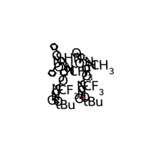 Cn1nc(-c2ccc(OCc3ccccc3)nc2OCc2ccccc2)c2ccc(OCCCN3CCN(C(=O)OC(C)(C)C)CC3C(F)(F)F)cc21.Cn1nc(C2CCC(=O)NC2=O)c2ccc(OCCCN3CCN(C(=O)OC(C)(C)C)CC3C(F)(F)F)cc21